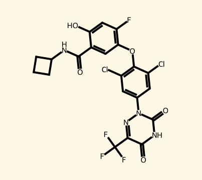 O=C(NC1CCC1)c1cc(Oc2c(Cl)cc(-n3nc(C(F)(F)F)c(=O)[nH]c3=O)cc2Cl)c(F)cc1O